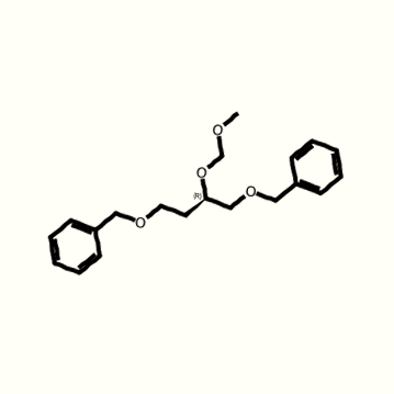 COCO[C@H](CCOCc1ccccc1)COCc1ccccc1